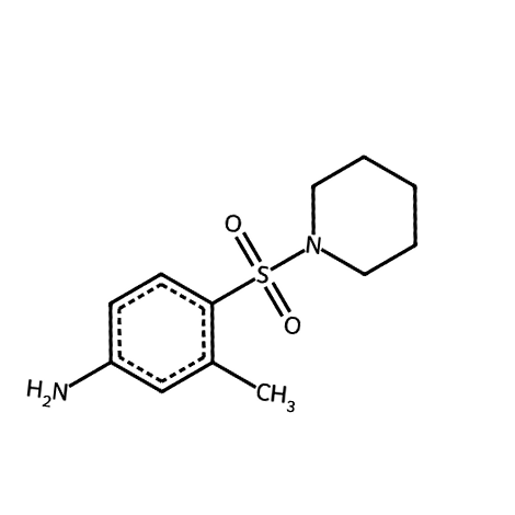 Cc1cc(N)ccc1S(=O)(=O)N1CCCCC1